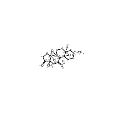 C[C@@H]1CC[C@@]2(C)[C@H](CC[C@@H]3[C@@H]2C(=O)C[C@]2(C)C(=O)CC[C@@H]32)C1